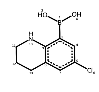 OB(O)c1cc(Cl)cc2c1NCCC2